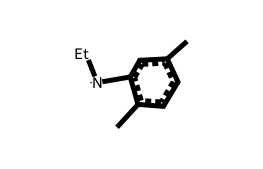 CC[N]c1cc(C)ccc1C